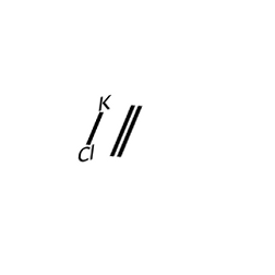 C=C.[Cl][K]